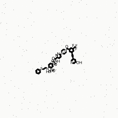 O=C(NS(=O)(=O)c1ccc(NCCSc2ccccc2)c([N+](=O)[O-])c1)c1ccc(N2CCN(C(=O)c3cc(C#Cc4cncc(O)c4)cc(C(F)(F)F)c3)CC2)nn1